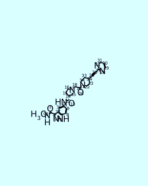 CNC(=O)c1n[nH]c2ccc(NC(=O)[C@@H]3CCN(CC(=O)N4CCC(C#Cc5ncccn5)CC4)C3)cc12